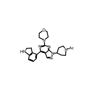 CC(=O)N1CCC(n2ncc3c(-c4cccc5c4CCN5)nc(N4CCOCC4)nc32)CC1